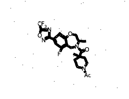 CC(=O)N1CCC(C)(C(=O)N2Cc3c(F)cc(-c4noc(C(F)(F)F)n4)cc3OCC2C)CC1